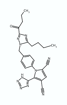 CCCCc1nc(C(=O)CCC)nn1Cc1ccc(-n2c(C#N)cc(C#N)c2-c2nnn[nH]2)cc1